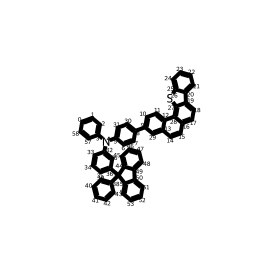 c1ccc(N(c2ccc(-c3ccc4c(ccc5ccc6c7ccccc7sc6c54)c3)cc2)c2cccc(C3(c4ccccc4)c4ccccc4-c4ccccc43)c2)cc1